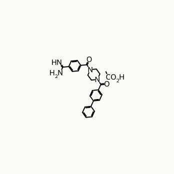 CC(=O)O.N=C(N)c1ccc(C(=O)N2CCN(C(=O)c3ccc(-c4ccccc4)cc3)CC2)cc1